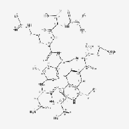 CC(C)C[C@H](NC(=O)[C@H](CCCNC(=N)N)NC(=O)[C@@H](NC(=O)[C@@H](N)C(C)C)[C@@H](C)O)C(=O)N[C@H](C(=O)N[C@@H](CC(N)=O)C(=O)N[C@H](C(=O)N[C@@H](CC(C)C)C(=O)N[C@@H](CCCCN)C(=O)N[C@@H](CCC(=O)O)C(=O)O)[C@@H](C)O)C(C)C